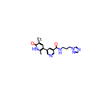 CCc1cc(-c2cncc(C(=O)NCCCn3cncn3)c2)c(C)[nH]c1=O